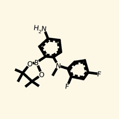 CN(c1ccc(F)cc1F)c1ccc(N)cc1B1OC(C)(C)C(C)(C)O1